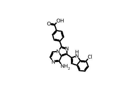 Nc1nccn2c(-c3ccc(C(=O)O)cc3)nc(-c3cc4cccc(Cl)c4[nH]3)c12